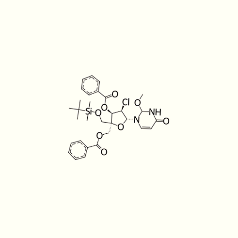 COC1NC(=O)C=CN1[C@@H]1O[C@@](COC(=O)c2ccccc2)(CO[Si](C)(C)C(C)(C)C)[C@@H](OC(=O)c2ccccc2)[C@H]1Cl